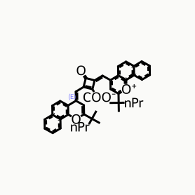 CCCC(C)(C)C1=C/C(=C\C2=C(C(=O)[O-])C(=Cc3cc(C(C)(C)CCC)[o+]c4c3ccc3ccccc34)C2=O)c2ccc3ccccc3c2O1